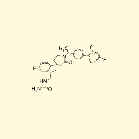 C[C@@H](c1ccc(-c2ccc(F)cc2F)cc1)N1CC[C@](CCCNC(N)=O)(c2ccc(F)cc2)CC1=O